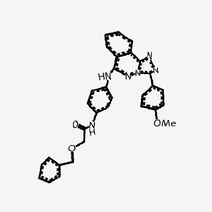 COc1ccc(-c2nnc3c4ccccc4c(Nc4ccc(NC(=O)COCc5ccccc5)cc4)nn23)cc1